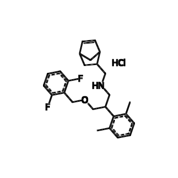 Cc1cccc(C)c1C(CNCC1CC2C=CC1C2)COCc1c(F)cccc1F.Cl